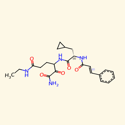 CCNC(=O)CCC(NC(=O)[C@H](CC1CC1)NC(=O)/C=C/c1ccccc1)C(=O)C(N)=O